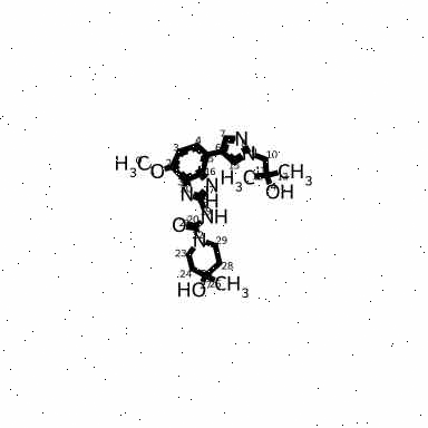 COc1ccc(-c2cnn(CC(C)(C)O)c2)c2[nH]c(NC(=O)N3CCC(C)(O)CC3)nc12